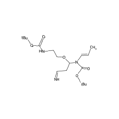 C/C=C/N(C(=O)OC(C)(C)C)C(CC=N)OCCNC(=O)OC(C)(C)C